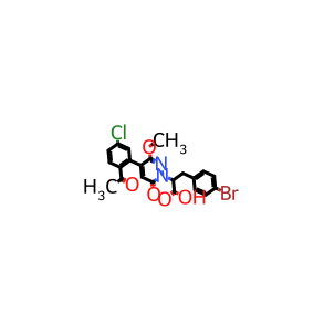 COc1nn(C(Cc2ccc(Br)cc2)C(=O)O)c(=O)cc1-c1cc(Cl)ccc1C(C)=O